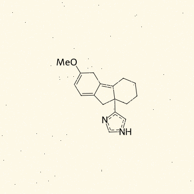 COC1=CC=C2CC3(c4c[nH]cn4)CCCCC3=C2C1